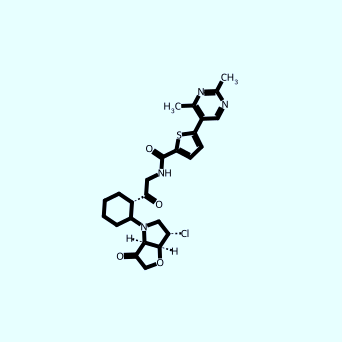 Cc1ncc(-c2ccc(C(=O)NCC(=O)[C@H]3CCCCC3N3C[C@H](Cl)[C@H]4OCC(=O)[C@H]43)s2)c(C)n1